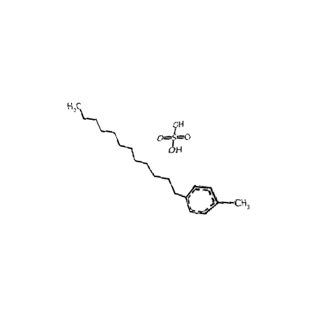 CCCCCCCCCCCCc1ccc(C)cc1.O=S(=O)(O)O